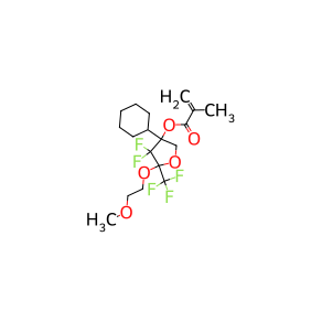 C=C(C)C(=O)OC1(C2CCCCC2)COC(OCCOC)(C(F)(F)F)C1(F)F